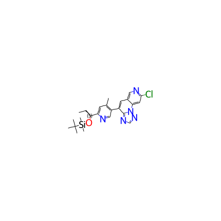 CC[C@H](O[Si](C)(C)C(C)(C)C)c1cc(C)c(-c2cc3cnc(Cl)cc3n3ncnc23)cn1